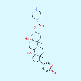 CC12CCC(OC(=O)N3CCNCC3)CC1(O)CCC1C2CCC2(C)C(c3ccc(=O)oc3)CCC12O